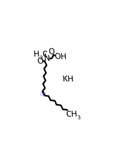 CCCCCCCC/C=C\CCCCCCCC(=O)N(C)CC(=O)O.[KH]